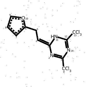 ClC(Cl)(Cl)C1=N/C(=C/Cc2ccco2)NC(C(Cl)(Cl)Cl)=N1